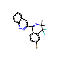 CC1(C)N=C(c2cc3ccccc3nn2)c2ccc(Br)cc2C1(F)F